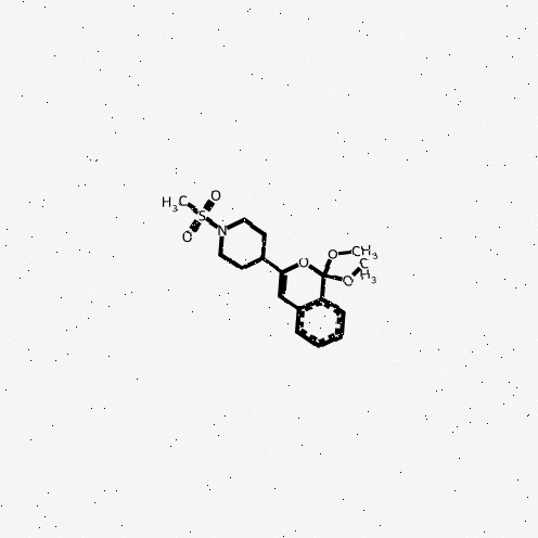 COC1(OC)OC(C2CCN(S(C)(=O)=O)CC2)=Cc2ccccc21